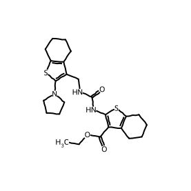 CCOC(=O)c1c(NC(=O)NCc2c(N3CCCC3)sc3c2CCCC3)sc2c1CCCC2